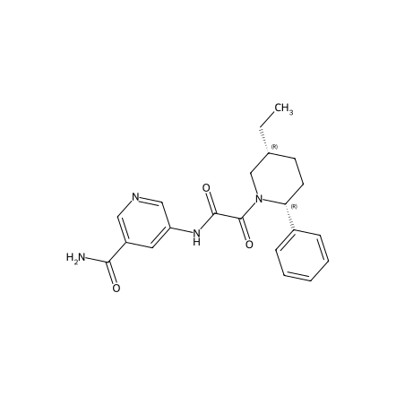 CC[C@@H]1CC[C@H](c2ccccc2)N(C(=O)C(=O)Nc2cncc(C(N)=O)c2)C1